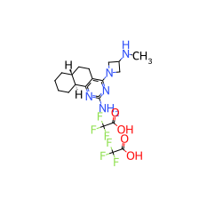 CNC1CN(c2nc(N)nc3c2CC[C@H]2CCCC[C@H]32)C1.O=C(O)C(F)(F)F.O=C(O)C(F)(F)F